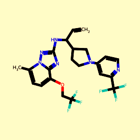 C=CC(Nc1nc2c(OCC(F)(F)F)ccc(C)n2n1)C1CCN(c2ccnc(C(F)(F)F)c2)C1